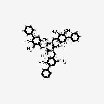 Cc1cc(-c2ccccc2)c(O)c(C)c1Cn1c(=O)n(Cc2c(C)cc(-c3ccccc3)c(O)c2C)c(=O)n(Cc2c(C)cc(-c3ccccc3)c(O)c2C)c1=O